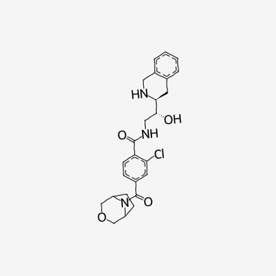 O=C(NC[C@@H](O)[C@@H]1Cc2ccccc2CN1)c1ccc(C(=O)N2C3CCC2COC3)cc1Cl